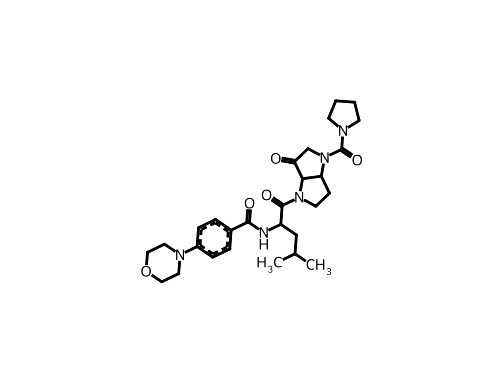 CC(C)CC(NC(=O)c1ccc(N2CCOCC2)cc1)C(=O)N1CCC2C1C(=O)CN2C(=O)N1CCCC1